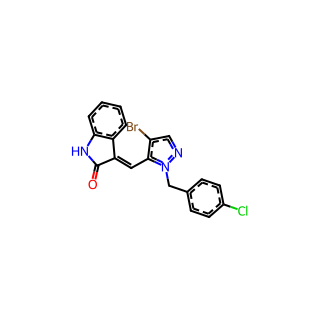 O=C1Nc2ccccc2C1=Cc1c(Br)cnn1Cc1ccc(Cl)cc1